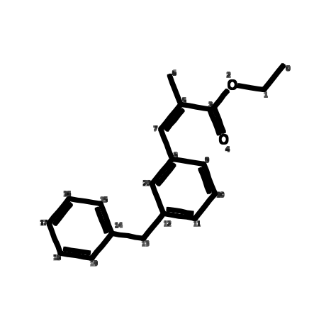 CCOC(=O)C(C)=Cc1cccc(Cc2ccccc2)c1